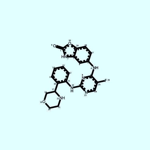 O=c1[nH]c2cc(Nc3nc(Nc4ccccc4C4COCCN4)ncc3F)ccc2o1